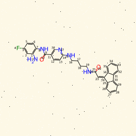 Nc1cc(F)ccc1NC(=O)c1ccc(NCCCCNC(=O)C=C2c3ccccc3-c3ccccc32)nc1